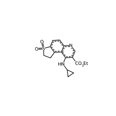 CCOC(=O)c1cnc2ccc3c(c2c1NC1CC1)CCS3(=O)=O